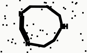 B1CCCN=C=NCC1